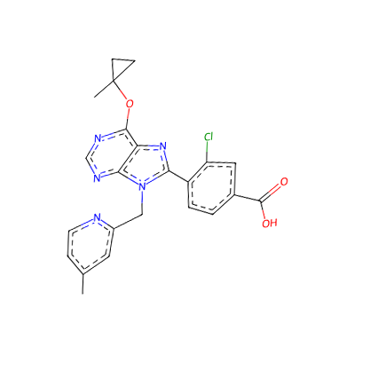 Cc1ccnc(Cn2c(-c3ccc(C(=O)O)cc3Cl)nc3c(OC4(C)CC4)ncnc32)c1